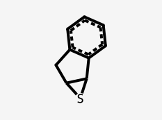 c1ccc2c(c1)CC1SC21